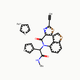 C#Cc1nc(C(=O)N(c2cccc3sccc23)C(C(=O)NC(C)(C)C)c2cc[cH-]c2)cs1.[Fe+2].c1cc[cH-]c1